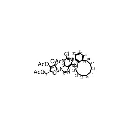 CC(=O)OC[C@H]1O[C@@H](n2cnc3c(N4CCCCCCCCc5ccccc54)nc(Cl)nc32)C(OC(C)=O)C1OC(C)=O